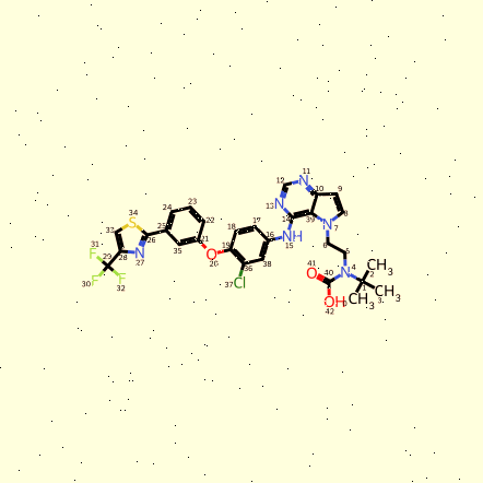 CC(C)(C)N(CCn1ccc2ncnc(Nc3ccc(Oc4cccc(-c5nc(C(F)(F)F)cs5)c4)c(Cl)c3)c21)C(=O)O